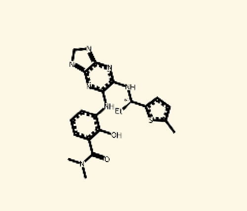 CC[C@@H](Nc1nc2c(nc1Nc1cccc(C(=O)N(C)C)c1O)=NCN=2)c1ccc(C)s1